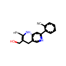 CCCC(N)=C(CO)Cc1ccc(-c2ccccc2C#N)nc1